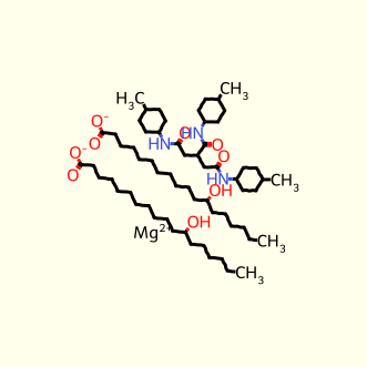 CC1CCC(NC(=O)CC(CC(=O)NC2CCC(C)CC2)C(=O)NC2CCC(C)CC2)CC1.CCCCCCC(O)CCCCCCCCCCC(=O)[O-].CCCCCCC(O)CCCCCCCCCCC(=O)[O-].[Mg+2]